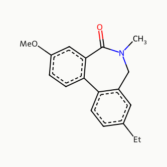 CCc1ccc2c(c1)CN(C)C(=O)c1cc(OC)ccc1-2